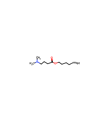 CCCCCCCCCCCOC(=O)CCCN(C)C